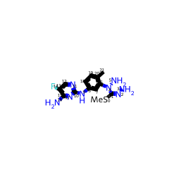 CS/C(=N/N)N(N)c1cc(Nc2ncc(F)c(N)n2)ccc1C